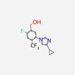 OCc1cc(-n2cnc(C3CC3)c2)c(C(F)(F)F)cc1F